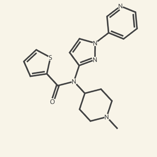 CN1CCC(N(C(=O)c2cccs2)c2ccn(-c3cccnc3)n2)CC1